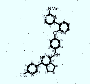 CNc1nccc(-c2cccnc2Oc2ccc(Nc3nnc(-c4ccc(Cl)cc4)c4c3CCC4)cc2)n1